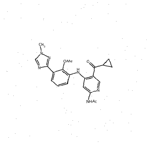 COc1c(Nc2cc(NC(C)=O)ncc2C(=O)C2CC2)cccc1-c1ncn(C)n1